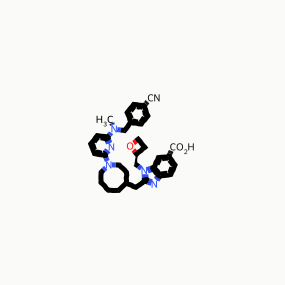 CN(Cc1ccc(C#N)cc1)c1cccc(N2CCCCC(Cc3nc4ccc(C(=O)O)cc4n3C[C@@H]3CCO3)CC2)n1